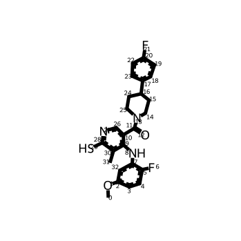 COc1ccc(F)c(Nc2c(C(=O)N3CCC(c4ccc(F)cc4)CC3)cnc(S)c2C)c1